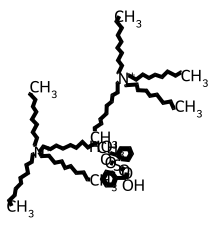 CCCCCCCCCC[N+](CCCCCCCCCC)(CCCCCCCCCC)CCCCCCCCCC.CCCCCCCCCC[N+](CCCCCCCCCC)(CCCCCCCCCC)CCCCCCCCCC.O=C(O)c1ccccc1S(=O)(=O)c1ccccc1C(=O)O